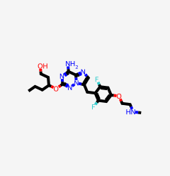 CCCC(CCO)Oc1nc(N)c2ncc(Cc3c(F)cc(OCCNC)cc3F)n2n1